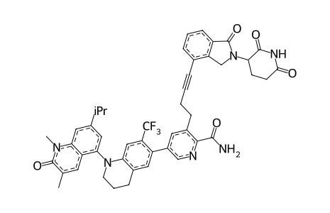 Cc1cc2c(N3CCCc4cc(-c5cnc(C(N)=O)c(CCC#Cc6cccc7c6CN(C6CCC(=O)NC6=O)C7=O)c5)c(C(F)(F)F)cc43)cc(C(C)C)cc2n(C)c1=O